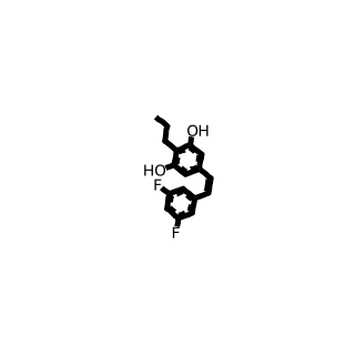 CCCc1c(O)cc(/C=C\c2cc(F)cc(F)c2)cc1O